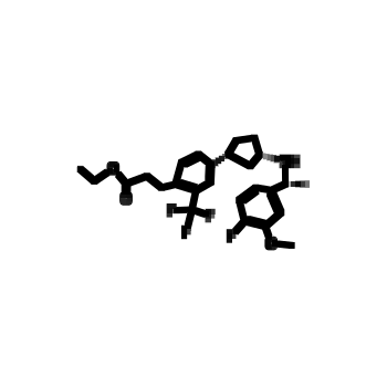 CCOC(=O)CCc1ccc([C@@H]2CC[C@H](N[C@H](C)c3ccc(F)c(OC)c3)C2)cc1C(F)(F)F